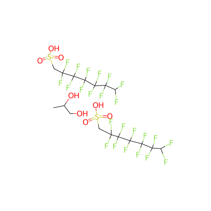 CC(O)CO.O=S(=O)(O)CC(F)(F)C(F)(F)C(F)(F)C(F)(F)C(F)(F)C(F)F.O=S(=O)(O)CC(F)(F)C(F)(F)C(F)(F)C(F)(F)C(F)(F)C(F)F